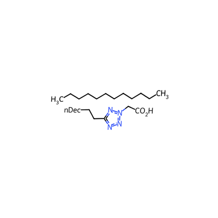 CCCCCCCCCCCC.CCCCCCCCCCCCc1nnn(CC(=O)O)n1